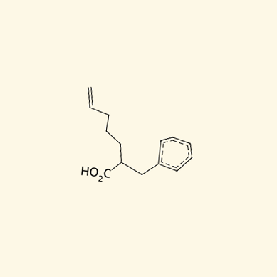 C=CCCCC(Cc1ccccc1)C(=O)O